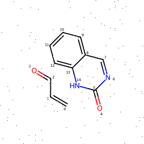 C=CC=O.O=c1ncc2ccccc2[nH]1